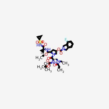 C=CC(=O)N(CC)C[C@H](NC(=O)OC(C)(C)C)C(=O)N1C[C@H](OC(=O)N2Cc3cccc(F)c3C2)CC1C(=O)N[C@]1(C(=O)NS(=O)(=O)C2CC2)C[C@H]1C=C